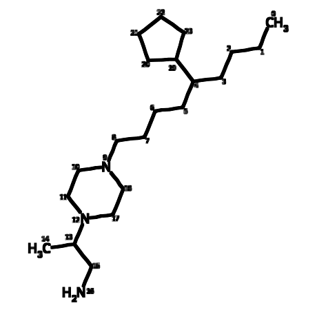 CCCCC(CCCCN1CCN(C(C)CN)CC1)C1CCCC1